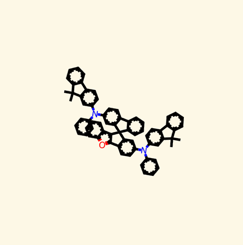 CC1(C)c2ccccc2-c2ccc(N(c3ccccc3)c3ccc4c(c3)C3(c5ccccc5-4)c4cc(N(c5ccccc5)c5ccc6c(c5)C(C)(C)c5ccccc5-6)ccc4-c4oc5ccccc5c43)cc21